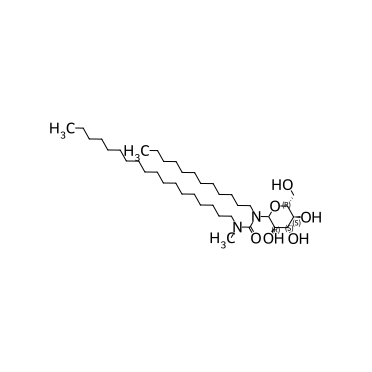 CCCCCCCCCCCCCCCCCCN(C)C(=O)N(CCCCCCCCCCCC)C1O[C@H](CO)[C@@H](O)[C@H](O)[C@H]1O